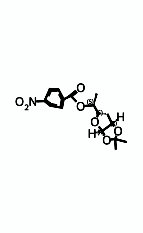 C[C@H](OC(=O)c1ccc([N+](=O)[O-])cc1)[C@@H]1C[C@H]2OC(C)(C)O[C@H]2O1